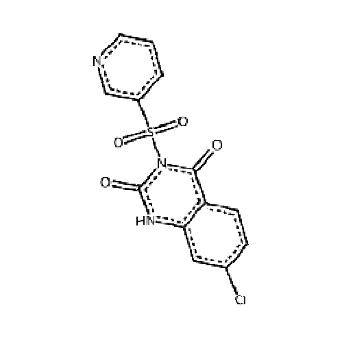 O=c1[nH]c2cc(Cl)ccc2c(=O)n1S(=O)(=O)c1cccnc1